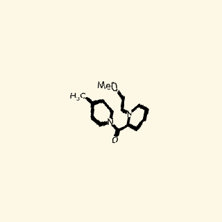 COCCN1CCCCC1C(=O)N1CCC(C)CC1